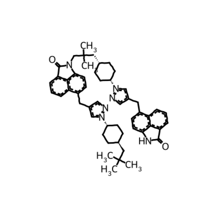 CC(C)(C)C[C@H]1CC[C@H](n2cc(Cc3ccc4c5c(cccc35)C(=O)N4CC(C)(C)C[C@H]3CC[C@@H](n4cc(Cc5ccc6c7c(cccc57)C(=O)N6)cn4)CC3)cn2)CC1